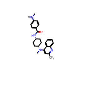 CN(C)c1ccc(C(=O)N[C@H]2CC[C@@H](N(C)c3cc(C(F)(F)F)nc4ccccc34)CC2)cc1